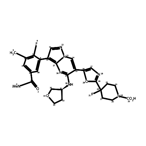 CNC(=O)c1cc(C)c(F)c(-c2cnn3cc(-c4cnc(C5(F)CCN(C(=O)O)CC5)o4)c(N[C@H]4CCOC4)nc23)c1